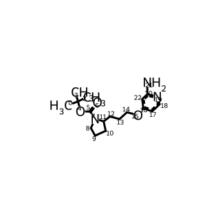 CC(C)(C)OC(=O)N1CCCC1CCCOc1ccnc(N)c1